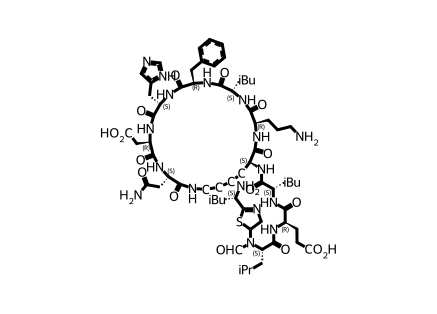 CCC(C)[C@H](N)C1=NCC(N(C=O)[C@@H](CC(C)C)C(=O)N[C@H](CCC(=O)O)C(=O)N[C@H](C(=O)N[C@H]2CCCCNC(=O)[C@H](CC(N)=O)NC(=O)[C@@H](CC(=O)O)NC(=O)[C@H](Cc3cnc[nH]3)NC(=O)[C@@H](Cc3ccccc3)NC(=O)[C@H](C(C)CC)NC(=O)[C@@H](CCCN)NC2=O)C(C)CC)S1